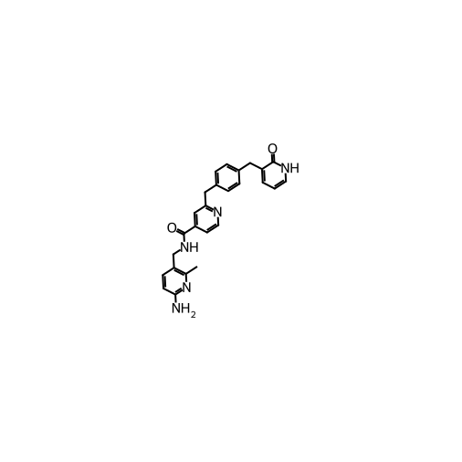 Cc1nc(N)ccc1CNC(=O)c1ccnc(Cc2ccc(Cc3ccc[nH]c3=O)cc2)c1